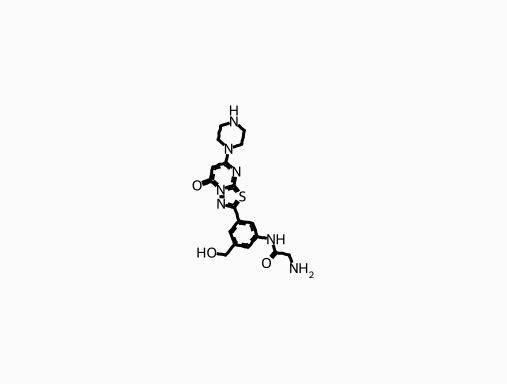 NCC(=O)Nc1cc(CO)cc(-c2nn3c(=O)cc(N4CCNCC4)nc3s2)c1